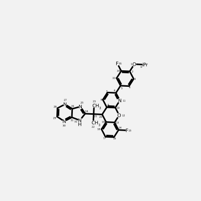 CC(C)Oc1ccc(-c2ccc3c(n2)Oc2c(F)cccc2C3C(C)(C)c2nc3nccnc3[nH]2)cc1F